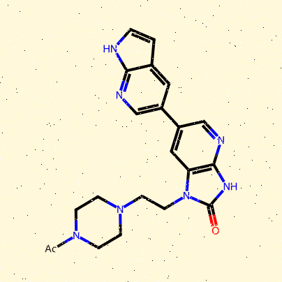 CC(=O)N1CCN(CCn2c(=O)[nH]c3ncc(-c4cnc5[nH]ccc5c4)cc32)CC1